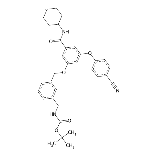 CC(C)(C)OC(=O)NCc1cccc(COc2cc(Oc3ccc(C#N)cc3)cc(C(=O)NC3CC[CH]CC3)c2)c1